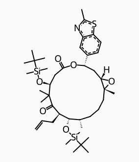 C=CC[C@H]1C(=O)C(C)(C)[C@@H](O[Si](C)(C)C(C)(C)C)CC(=O)O[C@H](c2ccc3sc(C)nc3c2)C[C@@H]2O[C@]2(C)CCC[C@H](C)[C@@H]1O[Si](C)(C)C(C)(C)C